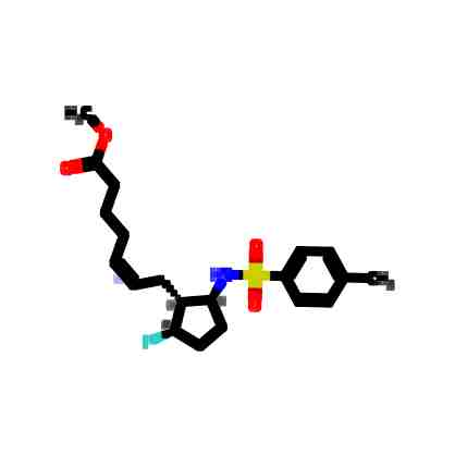 COC(=O)CCC/C=C\C[C@H]1[C@H](F)CC[C@@H]1NS(=O)(=O)c1ccc(C)cc1